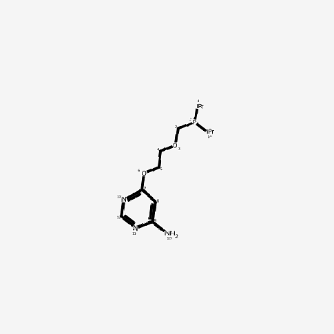 CC(C)P(COCCOc1cc(N)ncn1)C(C)C